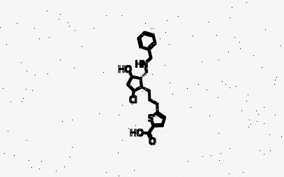 O=C(O)c1ccc(CCC[C@H]2C(Cl)C[C@@H](O)[C@@H]2CNCc2ccccc2)s1